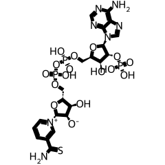 NC(=S)c1ccc[n+]([C@@H]2O[C@H](COP(=O)(O)OP(=O)(O)OC[C@H]3O[C@@H](n4cnc5c(N)ncnc54)[C@H](OP(=O)(O)O)[C@@H]3O)[C@@H](O)[C@H]2[O-])c1